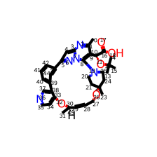 Cc1nc2cc3nn2c(c1[C@H](OC(C)(C)C)C(=O)O)N1CCC(C)(CC1)OCC=C[C@@H](C)Oc1ccncc1-c1cccc-3c1